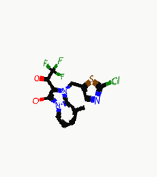 Cc1ccc[n+]2c([O-])c(C(=O)C(F)(F)F)n(Cc3cnc(Cl)s3)c12